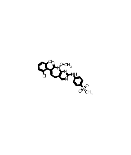 CON1C(=O)C(c2c(Cl)cccc2Cl)=CCc2cnc(Nc3ccc(S(C)(=O)=O)cc3)nc21